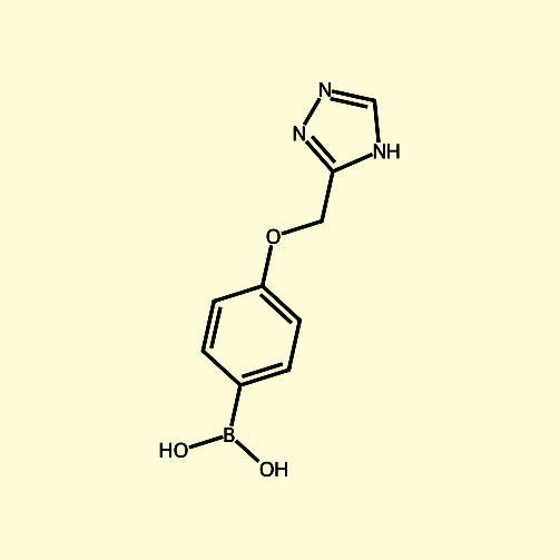 OB(O)c1ccc(OCc2nnc[nH]2)cc1